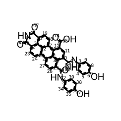 N=C(Nc1ccc(O)cc1)c1cc(C(=O)O)c2c3ccc4c5c(ccc(c6ccc(C(=O)Nc7ccc(O)cc7)c1c62)c53)C(=O)NC4=O